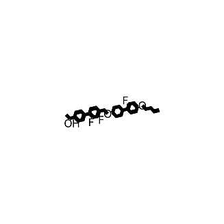 C=CCCOc1ccc(C2CCC(OCc3ccc(-c4ccc(C(C)O)cc4)c(F)c3F)CC2)c(F)c1